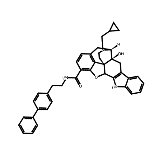 O=C(NCCc1ccc(-c2ccccc2)cc1)c1ccc2c3c1OC1c4[nH]c5ccccc5c4C[C@@]4(O)[C@@H](C2)N(CC2CC2)CC[C@]314